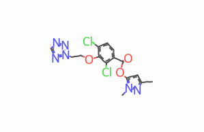 Cc1cc(OC(=O)c2ccc(Cl)c(OCCn3ncnn3)c2Cl)n(C)n1